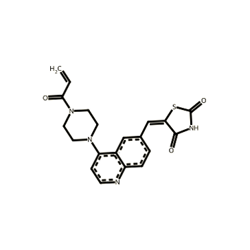 C=CC(=O)N1CCN(c2ccnc3ccc(/C=C4/SC(=O)NC4=O)cc23)CC1